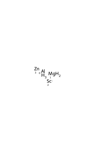 [AlH3].[MgH2].[Sc].[Zn]